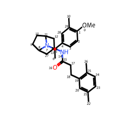 COc1ccc(C(C)N2C3CCC2CC(NC(=O)CCc2cc(C)ccc2C)C3)cc1C